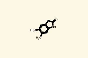 Cc1cc2c(cc1N)CC(=O)N2